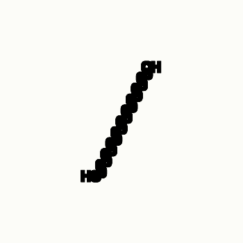 OOOOOOOOOOOOOOOOOOOOO